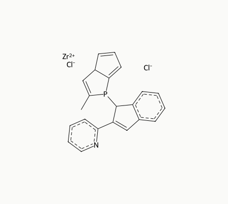 CC1=CC2C=CC=C2P1C1C(c2ccccn2)=Cc2ccccc21.[Cl-].[Cl-].[Zr+2]